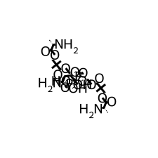 C[C@H](N)C(=O)OCC(C)(C)C(=O)OCOP(=O)(OCOC(=O)C(C)(C)COC(=O)[C@H](C)N)C(O)(CCCN)P(=O)(O)O